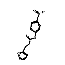 O=[N+]([O-])c1ccc(OC(=S)CCc2ccco2)cc1